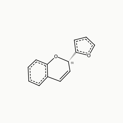 C1=C[C@@H](c2ccco2)Oc2ccccc21